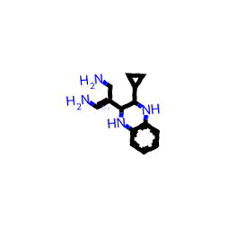 N/C=C(\CN)C1Nc2ccccc2NC1C1CC1